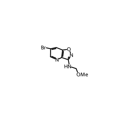 COCNc1noc2cc(Br)cnc12